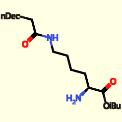 CCCCCCCCCCCC(=O)NCCCC[C@H](N)C(=O)OCC(C)C